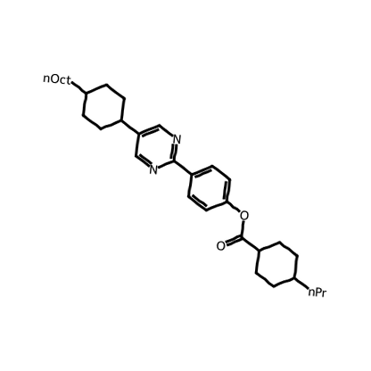 CCCCCCCCC1CCC(c2cnc(-c3ccc(OC(=O)C4CCC(CCC)CC4)cc3)nc2)CC1